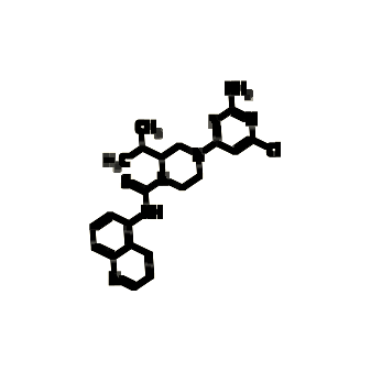 CC(C)C1CN(c2cc(Cl)nc(N)n2)CCN1C(=S)Nc1cccc2ncccc12